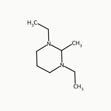 CCN1CCCN(CC)C1C